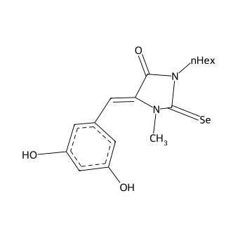 CCCCCCN1C(=O)C(=Cc2cc(O)cc(O)c2)N(C)C1=[Se]